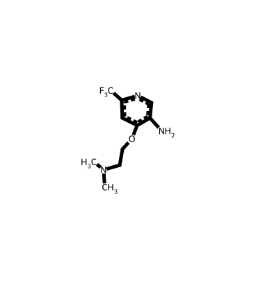 CN(C)CCOc1cc(C(F)(F)F)ncc1N